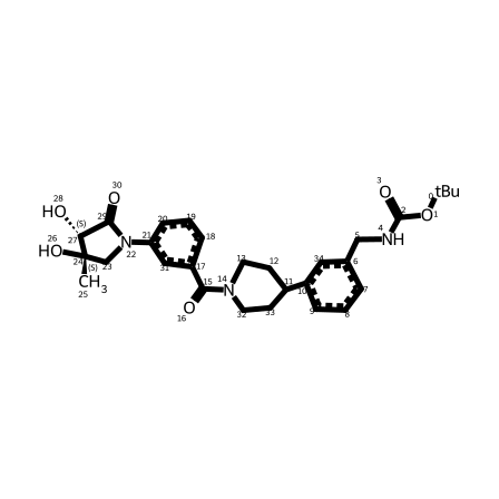 CC(C)(C)OC(=O)NCc1cccc(C2CCN(C(=O)c3cccc(N4C[C@](C)(O)[C@H](O)C4=O)c3)CC2)c1